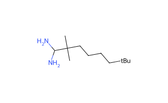 CC(C)(C)CCCCC(C)(C)C(N)N